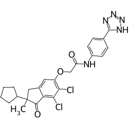 CC1(C2CCCC2)Cc2cc(OCC(=O)Nc3ccc(-c4nnn[nH]4)cc3)c(Cl)c(Cl)c2C1=O